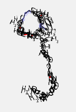 CO[C@H]1C[C@@H]2CC[C@@H](C)[C@@](O)(O2)C(=O)C(=O)N2CCCC[C@H]2C(=O)O[C@H]([C@H](C)C[C@@H]2CC[C@@H](OC(=S)NCc3cnc(N4CCN(C(=O)CCOCCN5CCN(c6ncc(C(=O)N7CCc8cc(Cn9nc(-c%10ccc%11oc(N)nc%11c%10)c%10c(N)ncnc%109)ccc8C7)cn6)CC5)CC4)nc3)[C@H](OC)C2)C[C@@H](O)[C@H](C)/C=C(\C)[C@@H](O)[C@@H](OC)C(=O)[C@H](C)C[C@H](C)/C=C/C=C/C=C/1C